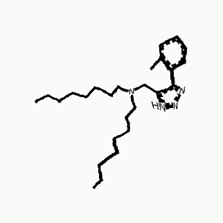 CCCCCCCCN(CCCCCCCC)Cc1[nH]nnc1-c1ccccc1C